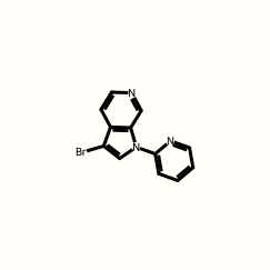 Brc1cn(-c2ccccn2)c2cnccc12